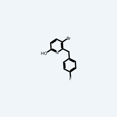 Oc1ccc(Br)c(Cc2ccc(F)cc2)n1